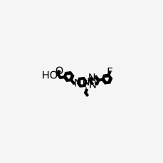 CCC[C@@H]1CN(Cc2cccc(CC(=O)O)c2)CCN1c1ncc(-c2cccc(F)c2)cn1